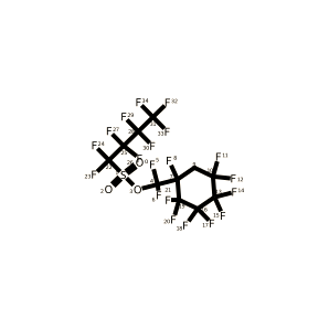 O=S(=O)(OC(F)(F)C1(F)CC(F)(F)C(F)(F)C(F)(F)C1(F)F)C(F)(F)C(F)(F)C(F)(F)C(F)(F)F